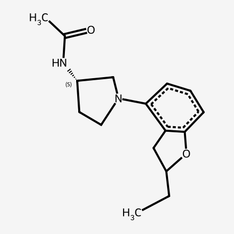 CCC1Cc2c(cccc2N2CC[C@H](NC(C)=O)C2)O1